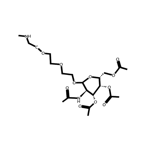 CNCCOCCOCCOC1O[C@H](COC(C)=O)[C@H](OC(C)=O)[C@H](OC(C)=O)[C@H]1NC(C)=O